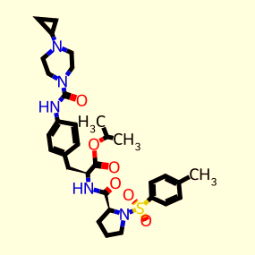 Cc1ccc(S(=O)(=O)N2CCC[C@H]2C(=O)N[C@@H](Cc2ccc(NC(=O)N3CCN(C4CC4)CC3)cc2)C(=O)OC(C)C)cc1